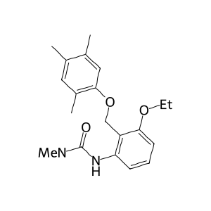 CCOc1cccc(NC(=O)NC)c1COc1cc(C)c(C)cc1C